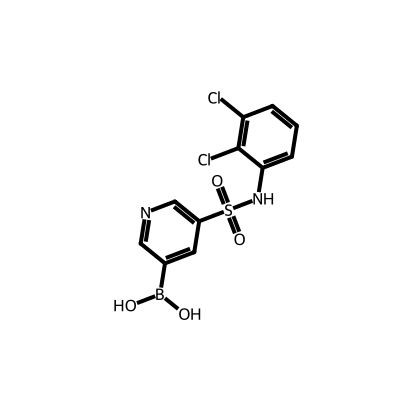 O=S(=O)(Nc1cccc(Cl)c1Cl)c1cncc(B(O)O)c1